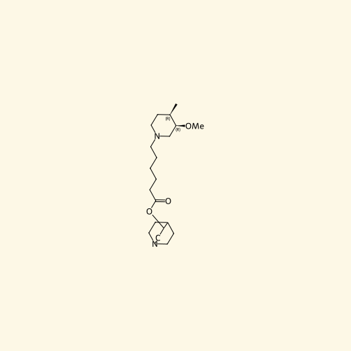 CO[C@H]1CN(CCCCCC(=O)OC2CN3CCC2CC3)CC[C@H]1C